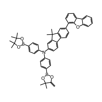 C=C1OB(c2ccc(N(c3ccc(B4OC(C)(C)C(C)(C)O4)cc3)c3ccc4c(c3)C(C)(C)c3cc(-c5cccc6c5oc5ccccc56)ccc3-4)cc2)OC1(C)C